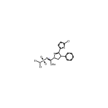 CCN(CC)S(=O)(=O)/N=C(\SC)N1CC(c2ccccc2)C(c2ccc(Cl)s2)=N1